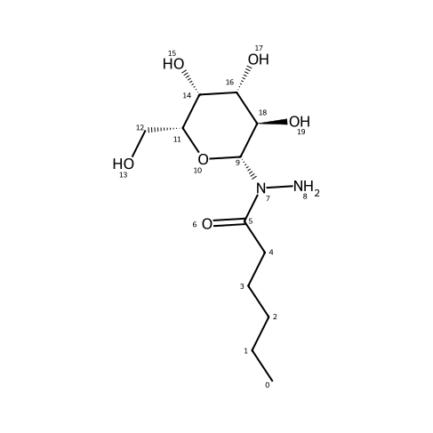 CCCCCC(=O)N(N)[C@@H]1O[C@H](CO)[C@H](O)[C@H](O)[C@H]1O